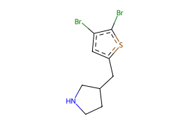 Brc1cc(CC2CCNC2)sc1Br